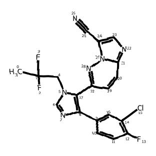 CC(F)(F)Cn1cnc(-c2ccc(F)c(Cl)c2)c1-c1ccc2ncc(C#N)n2n1